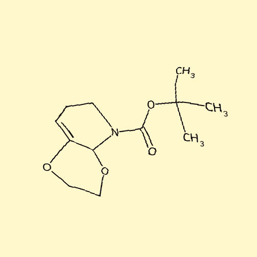 CC(C)(C)OC(=O)N1CCC=C2OCCOC21